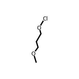 COCCCOCl